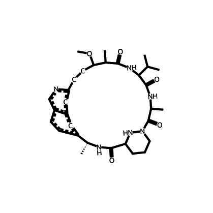 COC1CCc2cc3cc(ccc3cn2)[C@@H](C)NC(=O)C2CCCN(N2)C(=O)C(C)NC(=O)C(C(C)C)NC(=O)C1C